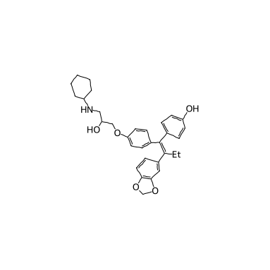 CC/C(=C(\c1ccc(O)cc1)c1ccc(OCC(O)CNC2CCCCC2)cc1)c1ccc2c(c1)OCO2